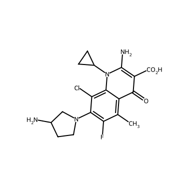 Cc1c(F)c(N2CCC(N)C2)c(Cl)c2c1c(=O)c(C(=O)O)c(N)n2C1CC1